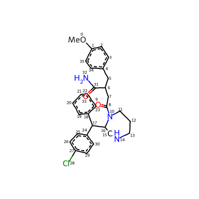 COc1ccc(CC(CC(=O)N2CCCNCC2C(c2ccccc2)c2ccc(Cl)cc2)C(N)=O)cc1